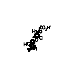 Cc1cc(NC(=O)CC(=O)O)cc(Cl)c1Oc1ccc(O)c(S(=O)(=O)NC2CC2)c1